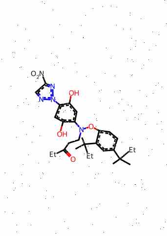 CCC(=O)CCN(Oc1ccc(C(C)(C)CC)cc1C(C)(C)CC)c1cc(O)c(-n2ncc([N+](=O)[O-])n2)cc1O